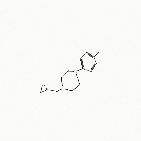 Fc1ccc(N2CCN(CC3CO3)CC2)cc1